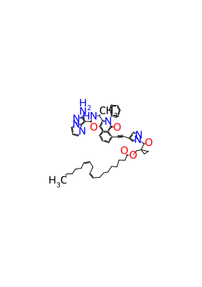 CCCCC/C=C\C/C=C\CCCCCCCC(=O)OCC1(C(=O)n2cc(C#Cc3cccc4cc([C@H](C)NC(=O)c5c(N)nn6cccnc56)n(-c5ccccc5)c(=O)c34)cn2)CC1